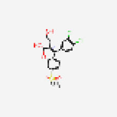 CS(=O)(=O)c1ccc(/C(=C(/CCO)C(=O)O)c2ccc(Cl)c(Cl)c2)cc1